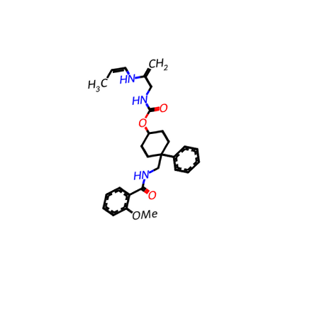 C=C(CNC(=O)OC1CCC(CNC(=O)c2ccccc2OC)(c2ccccc2)CC1)N/C=C\C